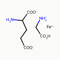 NC(CCC(=O)[O-])C(=O)[O-].[Fe+].[NH3+]CC(=O)O